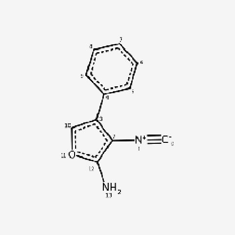 [C-]#[N+]c1c(-c2ccccc2)coc1N